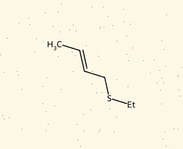 [CH2]CSCC=CC